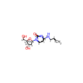 C=CCNc1ccn([C@H]2C[C@H](O)[C@@H](CO)O2)c(=O)n1